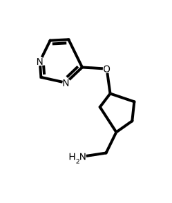 NCC1CCC(Oc2ccncn2)C1